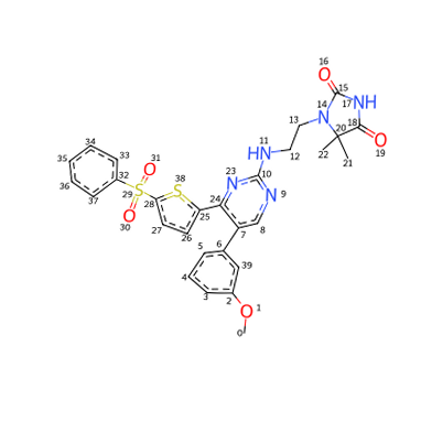 COc1cccc(-c2cnc(NCCN3C(=O)NC(=O)C3(C)C)nc2-c2ccc(S(=O)(=O)c3ccccc3)s2)c1